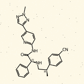 C[C@@H](CN[C@H](C(=O)Nc1ccc(-c2cnn(C)n2)cn1)c1ccccc1)c1ccc(C#N)cc1